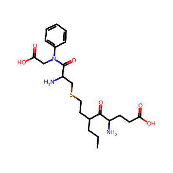 CCCC(CCSCC(N)C(=O)N(CC(=O)O)c1ccccc1)C(=O)C(N)CCC(=O)O